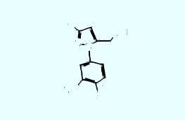 N#Cc1cc(-n2nc(C(F)(F)F)cc2CO)ccc1F